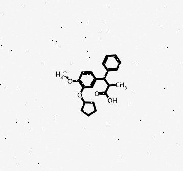 COc1ccc(C(c2ccccc2)C(C)C(=O)O)cc1OC1CCCC1